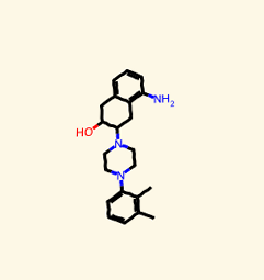 Cc1cccc(N2CCN(C3Cc4c(N)cccc4CC3O)CC2)c1C